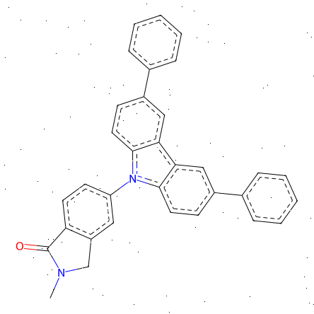 CN1Cc2cc(-n3c4ccc(-c5ccccc5)cc4c4cc(-c5ccccc5)ccc43)ccc2C1=O